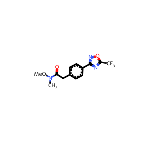 CON(C)C(=O)Cc1ccc(-c2noc(C(F)(F)F)n2)cc1